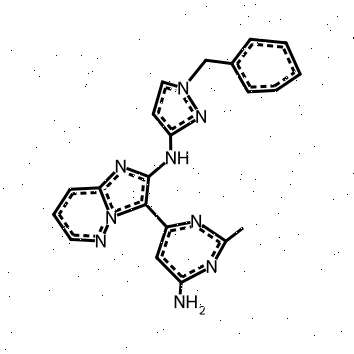 Cc1nc(N)cc(-c2c(Nc3ccn(Cc4ccccc4)n3)nc3cccnn23)n1